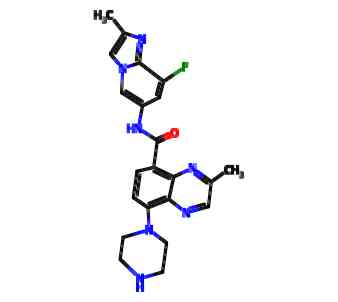 Cc1cnc2c(N3CCNCC3)ccc(C(=O)Nc3cc(F)c4nc(C)cn4c3)c2n1